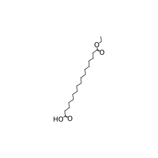 CCOC(=O)CCCCCCCCCCCCCCCC(=O)O